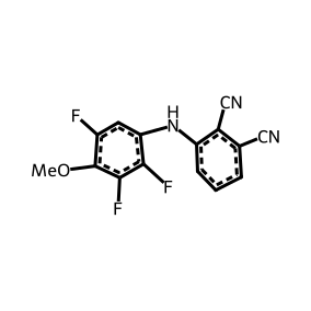 COc1c(F)cc(Nc2cccc(C#N)c2C#N)c(F)c1F